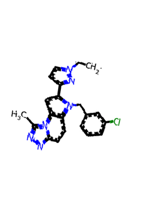 [CH2][CH]n1ccc(-c2cc3c(ccc4nnc(C)n43)n2Cc2cccc(Cl)c2)n1